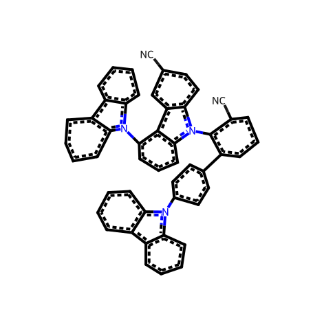 N#Cc1ccc2c(c1)c1c(-n3c4ccccc4c4ccccc43)cccc1n2-c1c(C#N)cccc1-c1ccc(-n2c3ccccc3c3ccccc32)cc1